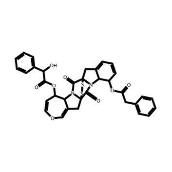 O=C(Cc1ccccc1)OC1C=CC=C2CC34SSC5(CC6=COC=CC(OC(=O)C(O)c7ccccc7)C6N5C3=O)C(=O)N4C21